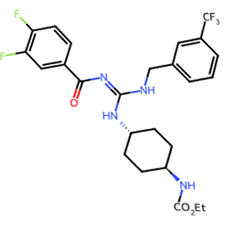 CCOC(=O)N[C@H]1CC[C@H](N/C(=N\C(=O)c2ccc(F)c(F)c2)NCc2cccc(C(F)(F)F)c2)CC1